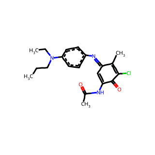 CCCN(CC)c1ccc(N=C2C=C(NC(C)=O)C(=O)C(Cl)=C2C)cc1